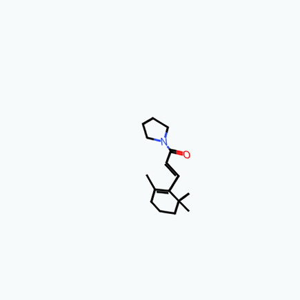 CC1=C(/C=C/C(=O)N2CCCC2)C(C)(C)CCC1